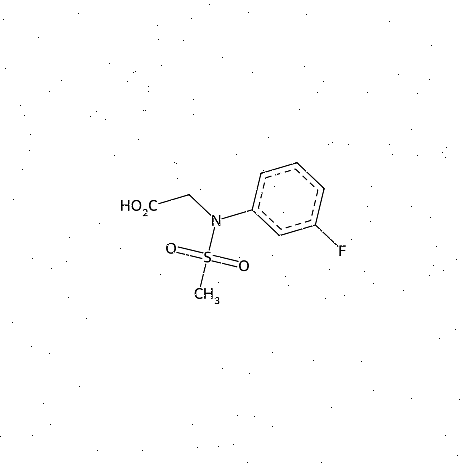 CS(=O)(=O)N(CC(=O)O)c1cccc(F)c1